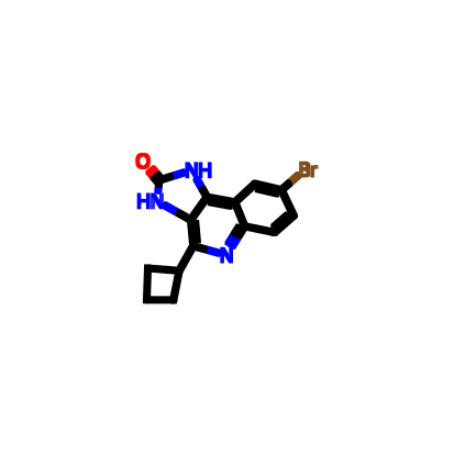 O=c1[nH]c2c(C3CCC3)nc3ccc(Br)cc3c2[nH]1